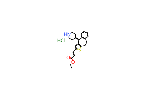 CCOC(=O)/C=C/c1cc2c(s1)CCc1ccccc1C2=C1CCNCC1.Cl